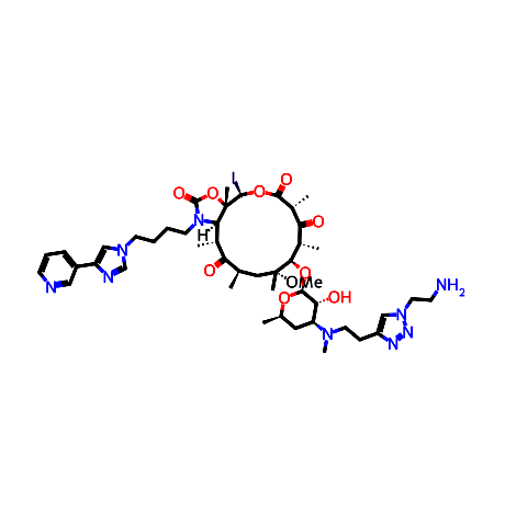 CO[C@]1(C)C[C@@H](C)C(=O)[C@H](C)[C@H]2N(CCCCn3cnc(-c4cccnc4)c3)C(=O)O[C@]2(C)[C@@H](I)OC(=O)[C@H](C)C(=O)[C@H](C)[C@H]1O[C@@H]1O[C@H](C)C[C@H](N(C)CCc2cn(CCN)nn2)[C@H]1O